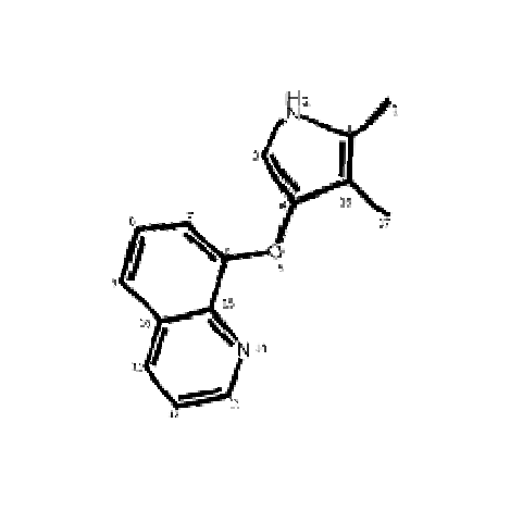 Cc1[nH]cc(Oc2cccc3cccnc23)c1C